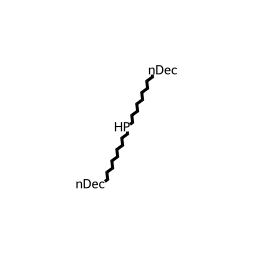 CCCCCCCCCCCCCCCCCCCPCCCCCCCCCCCCCCCCCCC